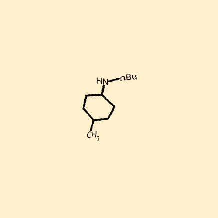 CCCCNC1CCC(C)CC1